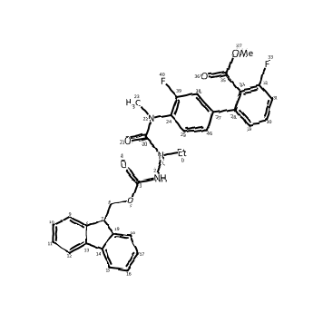 CCN(NC(=O)OCC1c2ccccc2-c2ccccc21)C(=O)N(C)c1ccc(-c2cccc(F)c2C(=O)OC)cc1F